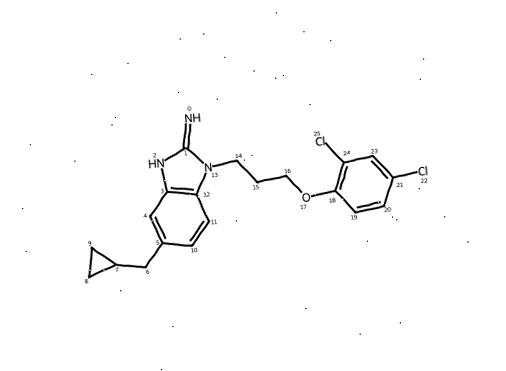 N=c1[nH]c2cc(CC3CC3)ccc2n1CCCOc1ccc(Cl)cc1Cl